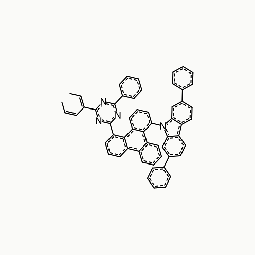 C/C=C\C(=C/C)c1nc(-c2ccccc2)nc(-c2cccc3c4ccccc4c4c(-n5c6cc(-c7ccccc7)ccc6c6ccc(-c7ccccc7)cc65)cccc4c23)n1